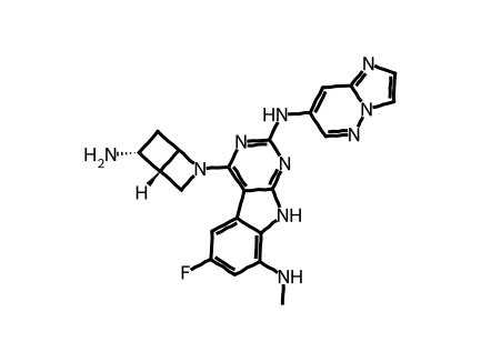 CNc1cc(F)cc2c1[nH]c1nc(Nc3cnn4ccnc4c3)nc(N3C[C@H]4C3C[C@H]4N)c12